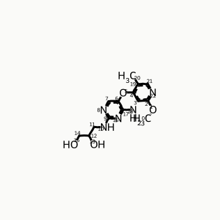 COc1cc(Oc2cnc(NCC(O)CO)nc2N)c(C)cn1